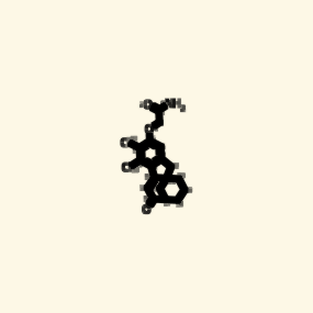 NC(=O)COc1cc2c(c(Cl)c1Cl)C1=CC(=O)C3CCCC1(C2)C3